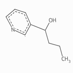 CCCC(O)c1[c]nccc1